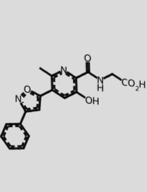 Cc1nc(C(=O)NCC(=O)O)c(O)cc1-c1cc(-c2ccccc2)no1